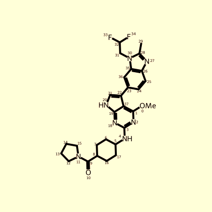 COc1nc(NC2CCC(C(=O)N3CCCC3)CC2)nc2[nH]cc(-c3ccc4nc(C)n(CC(F)F)c4c3)c12